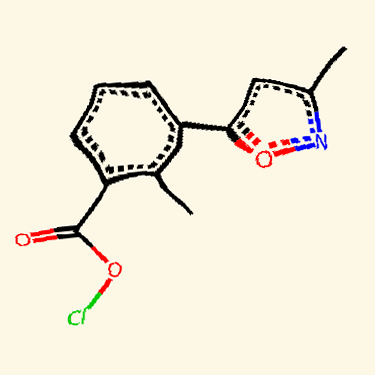 Cc1cc(-c2cccc(C(=O)OCl)c2C)on1